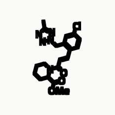 COC(=O)C1CCCCN1C(=O)/C=C/c1ccc(Cl)cc1Cn1nnc(C)n1